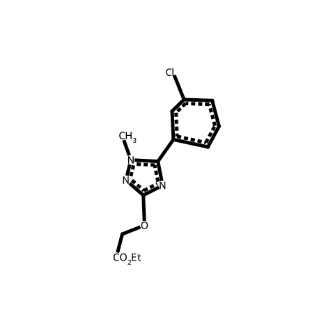 CCOC(=O)COc1nc(-c2cccc(Cl)c2)n(C)n1